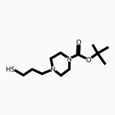 CC(C)(C)OC(=O)N1CCN(CCCS)CC1